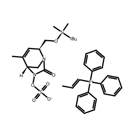 CC1=C[C@@H](CO[Si](C)(C)C(C)(C)C)N2C[C@@H]1N(OS(=O)(=O)[O-])C2=O.CC=C[P+](c1ccccc1)(c1ccccc1)c1ccccc1